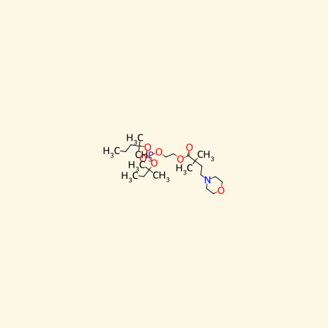 CCCC(C)(C)OP(=O)(OCCOC(=O)C(C)(C)CCN1CCOCC1)OC(C)(C)CC